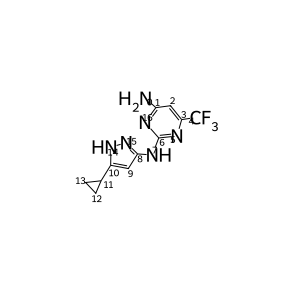 Nc1cc(C(F)(F)F)nc(Nc2cc(C3CC3)[nH]n2)n1